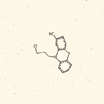 N#Cc1ccc2c(c1)N(CCCCl)c1ccccc1S2